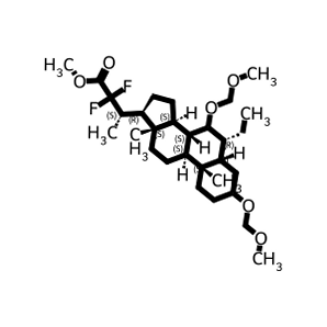 CC[C@H]1C(OCOC)[C@@H]2[C@H](CC[C@]3(C)[C@@H]([C@H](C)C(F)(F)C(=O)OC)CC[C@@H]23)[C@@]2(C)CCC(OCOC)C[C@@H]12